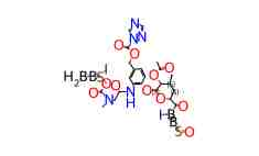 B/B=S(\I)OC(=O)N(C)CC(=O)Nc1cc(COC(=O)n2cncn2)ccc1O[C@@H]1OC(C(=O)B(I)B=S=O)[C@@H](C)[C@H](C)C1OC(C)=O